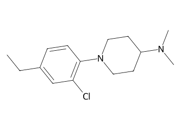 CCc1ccc(N2CCC(N(C)C)CC2)c(Cl)c1